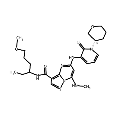 CCC(CCCOC)NC(=O)c1cnn2c(NC)cc(Nc3cccn([C@H]4CCCOC4)c3=O)nc12